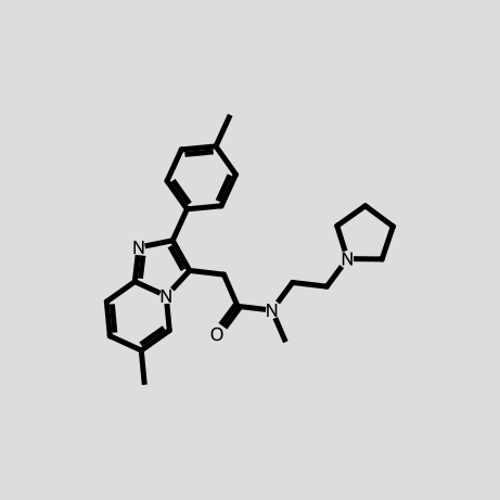 Cc1ccc(-c2nc3ccc(C)cn3c2CC(=O)N(C)CCN2CCCC2)cc1